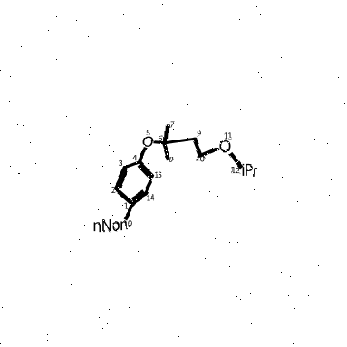 CCCCCCCCCc1ccc(OC(C)(C)CCOC(C)C)cc1